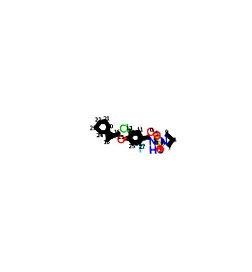 O=C(NS(=O)(=O)N1CCC1)c1cc(Cl)c(OCC2CC23CCCCC3)cc1F